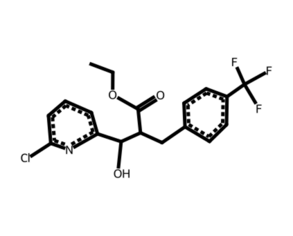 CCOC(=O)C(Cc1ccc(C(F)(F)F)cc1)C(O)c1cccc(Cl)n1